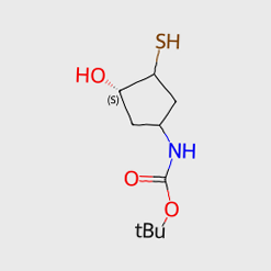 CC(C)(C)OC(=O)NC1CC(S)[C@@H](O)C1